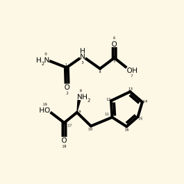 NC(=O)NCC(=O)O.N[C@@H](Cc1ccccc1)C(=O)O